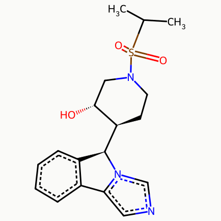 CC(C)S(=O)(=O)N1CC[C@@H]([C@@H]2c3ccccc3-c3cncn32)[C@H](O)C1